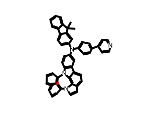 CC1(C)c2ccccc2-c2ccc(N(c3ccc(-c4ccncc4)cc3)c3ccc4c(c3)c3ccc5ccn(-c6ccccc6)c5c3n4-c3ccccc3)cc21